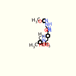 COc1ccnc(NCc2nnc(-c3ccc(CC(Nc4c(C)cc(C)cc4C)C(=O)O)cc3)o2)c1